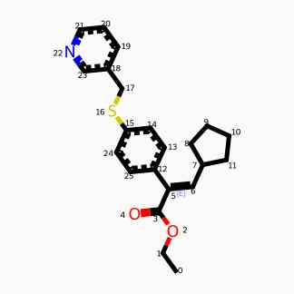 CCOC(=O)/C(=C/C1CCCC1)c1ccc(SCc2cccnc2)cc1